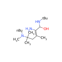 CCCCN(C)C(C)(C)CC(C)=C(N)C(O)NC(C)(C)C